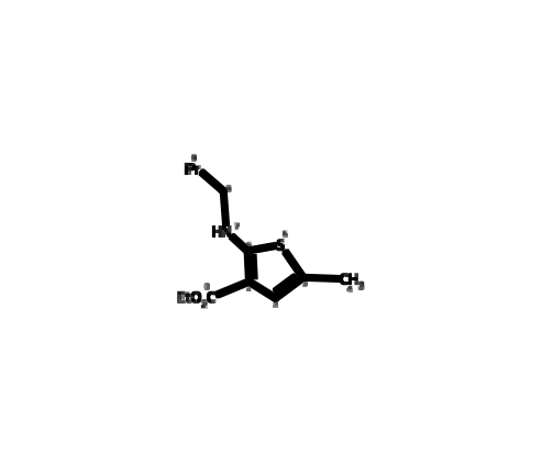 CCOC(=O)c1cc(C)sc1NCC(C)C